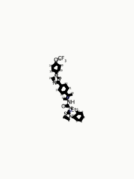 CCc1ccccc1-n1ccs/c1=N\C(=O)N/C(C)=C(\C)c1ccc(-c2ncn(-c3ccc(OC(F)(F)F)cc3)n2)cc1